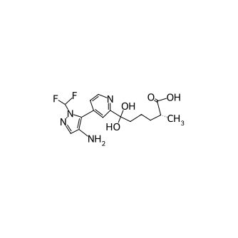 C[C@H](CCCC(O)(O)c1cc(-c2c(N)cnn2C(F)F)ccn1)C(=O)O